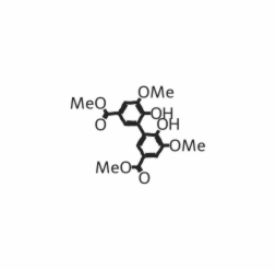 COC(=O)c1cc(OC)c(O)c(-c2cc(C(=O)OC)cc(OC)c2O)c1